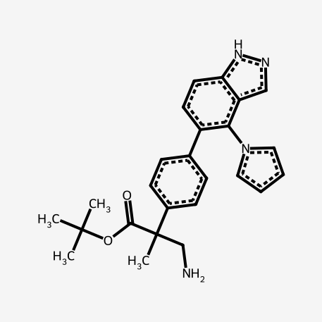 CC(C)(C)OC(=O)C(C)(CN)c1ccc(-c2ccc3[nH]ncc3c2-n2cccc2)cc1